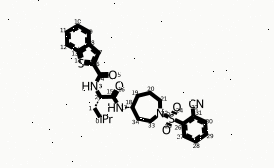 CC(C)C[C@H](NC(=O)c1cc2ccccc2s1)C(=O)N[C@@H]1CCCN(S(=O)(=O)c2ccccc2C#N)CC1